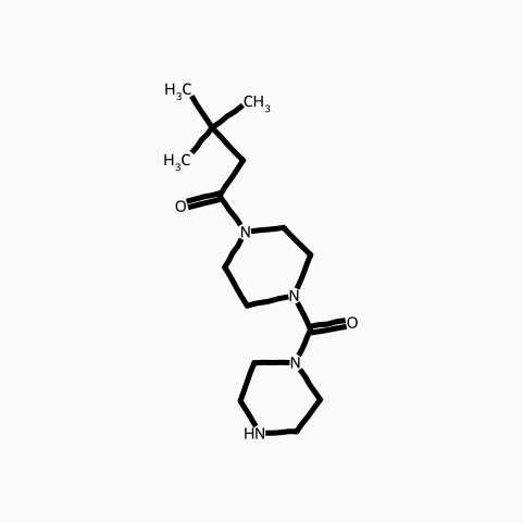 CC(C)(C)CC(=O)N1CCN(C(=O)N2CCNCC2)CC1